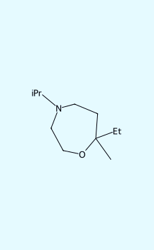 CCC1(C)CCN(C(C)C)CCO1